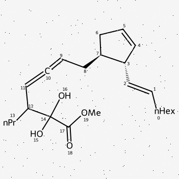 CCCCCCC=C[C@H]1C=CC[C@@H]1CC=C=CC(CCC)C(O)(O)C(=O)OC